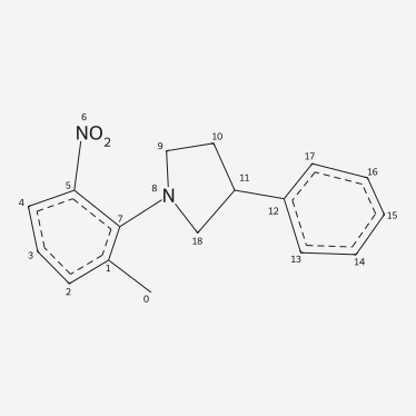 Cc1cccc([N+](=O)[O-])c1N1CCC(c2ccccc2)C1